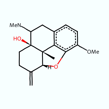 C=C1CC[C@]2(O)C(NC)Cc3ccc(OC)c4c3[C@]2(C)[C@@H]1O4